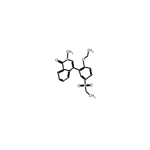 CCOc1ccc(S(=O)(=O)CC)cc1-c1cn(C)c(=O)c2ccccc12